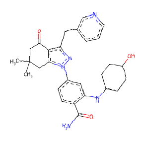 CC1(C)CC(=O)c2c(Cc3cccnc3)nn(-c3ccc(C(N)=O)c(NC4CCC(O)CC4)c3)c2C1